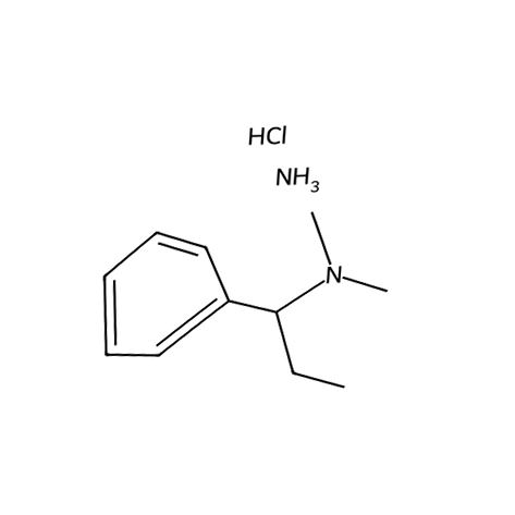 CCC(c1ccccc1)N(C)C.Cl.N